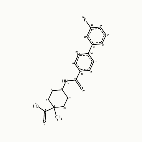 CC1(C(=O)O)CCC(NC(=O)c2ccc(-c3cccc(F)c3)nc2)CC1